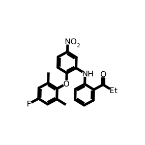 CCC(=O)c1ccccc1Nc1cc([N+](=O)[O-])ccc1Oc1c(C)cc(F)cc1C